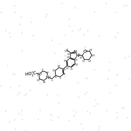 O=C(O)N1CCN(CC2CC=C(c3ccc4c(c3)c(I)nn4C3CCCCO3)CC2)CC1